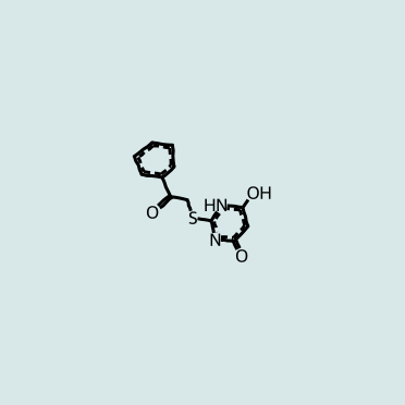 O=C(CSc1nc(=O)cc(O)[nH]1)c1ccccc1